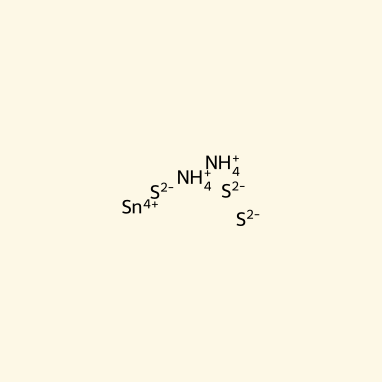 [NH4+].[NH4+].[S-2].[S-2].[S-2].[Sn+4]